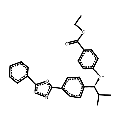 CCOC(=O)c1ccc(N[C@H](c2ccc(-c3nnc(-c4ccccc4)o3)cc2)C(C)C)cc1